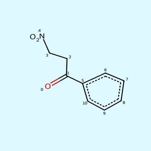 O=C(CC[N+](=O)[O-])c1ccccc1